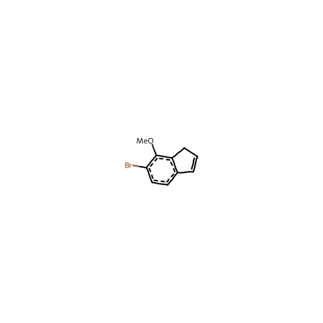 COc1c(Br)ccc2c1CC=C2